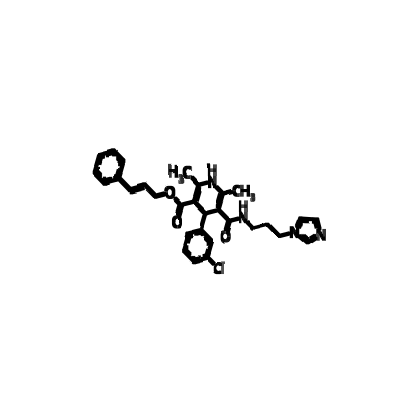 CC1=C(C(=O)NCCCn2ccnc2)C(c2cccc(Cl)c2)C(C(=O)OCC=Cc2ccccc2)=C(C)N1